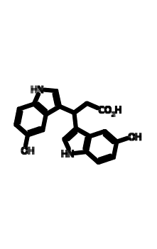 O=C(O)CC(c1c[nH]c2ccc(O)cc12)c1c[nH]c2ccc(O)cc12